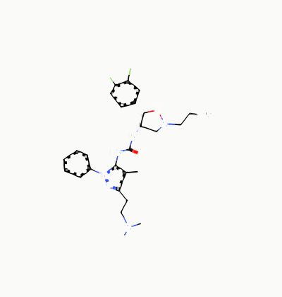 COCCN1C[C@@H](NC(=O)Nc2c(C)c(CCN(C)C)nn2-c2ccccc2)[C@H](c2ccc(F)c(F)c2)O1